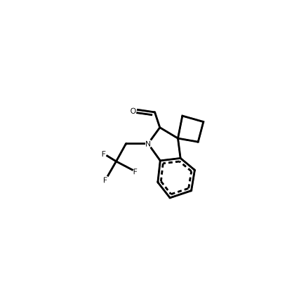 O=CC1N(CC(F)(F)F)c2ccccc2C12CCC2